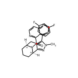 Cn1nc2c(c1-c1cc(F)cc(F)c1)C[C@@H]1CCC[C@H]2N1C(=O)c1nccc2ncccc12